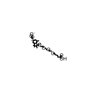 CC1=[N+](OCCOCCOCCOCCCCC(=O)O)c2c(C)cc(SOO[O-])cc2C1(C)C